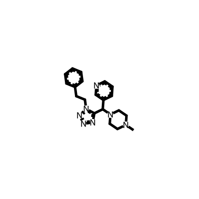 CN1CCN(C(c2cccnc2)c2nnnn2CCc2ccccc2)CC1